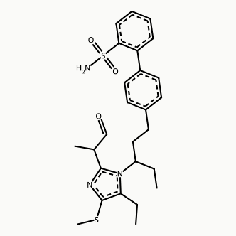 CCc1c(SC)nc(C(C)C=O)n1C(CC)CCc1ccc(-c2ccccc2S(N)(=O)=O)cc1